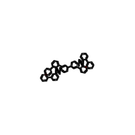 c1ccc(-c2cccc(-n3c4ccc(-c5ccc6c(c5)c5ccccc5n6-c5ccccc5-c5ccccc5)cc4c4cccc(-c5ccccc5)c43)c2)cc1